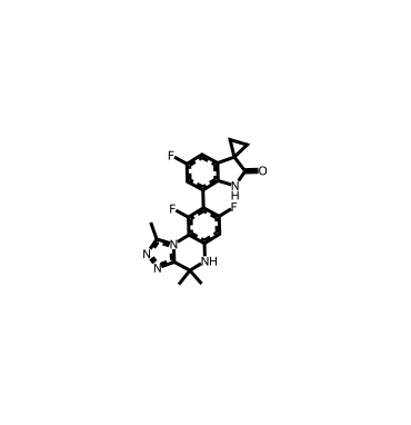 Cc1nnc2n1-c1c(cc(F)c(-c3cc(F)cc4c3NC(=O)C43CC3)c1F)NC2(C)C